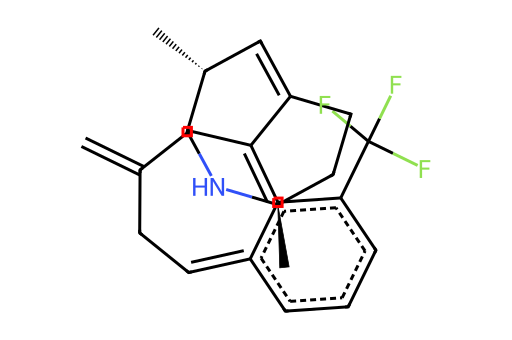 C=C1CC=c2cccc(C(F)(F)F)c2=C(/C2=C\[C@@H](C)CN[C@H](C)CC2)C1